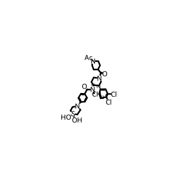 CC(=O)N1CCC(C(=O)N2CC[C@@H](N(C)C(=O)c3ccc(N4CCS(O)(O)CC4)cc3)[C@H](c3ccc(Cl)c(Cl)c3)C2)CC1